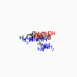 CC[C@H](C)[C@H](N)C(=O)N[C@@H](CCCNC(=N)N)C(=O)N[C@@H](CCC(=O)O)C(=O)O